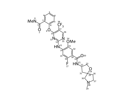 CNC(=O)c1ccccc1Oc1nc(Nc2cc(F)c(C(=O)NC3COC4(CCN(C)C4)C3)cc2OC)ncc1C(F)(F)F